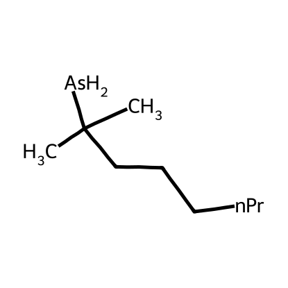 CCCCCCC(C)(C)[AsH2]